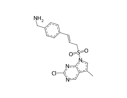 Cc1cn(S(=O)(=O)CC=Cc2ccc(CN)cc2)c2nc(Cl)ncc12